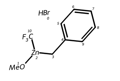 Br.C[O][Zn]([CH2]c1ccccc1)[C](F)(F)F